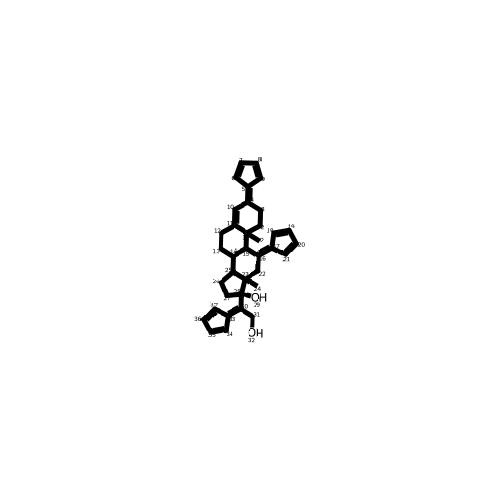 CC12CCC(=C3C=CC=C3)C=C1CCC1C2C(=C2C=CC=C2)CC2(C)C1CCC2(O)C(CO)=C1C=CC=C1